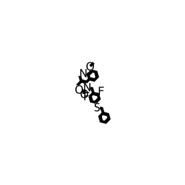 COc1cccc2c3c(cnc12)COC(=O)N3Cc1c(F)cc(SCc2ccccc2)cc1F